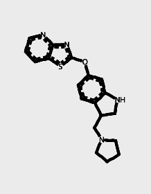 c1cnc2nc(Oc3ccc4c(c3)NCC4CN3CCCC3)sc2c1